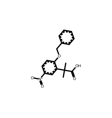 CC(C)(C(=O)O)c1cc([N+](=O)[O-])ccc1OCc1ccccc1